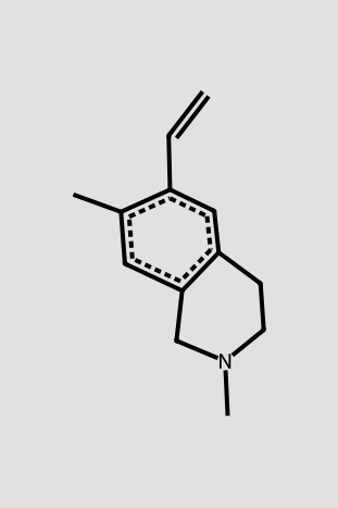 C=Cc1cc2c(cc1C)CN(C)CC2